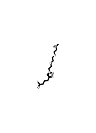 CNCCOCCOCCn1cc(CCCC(=O)I)nn1